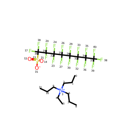 CCC[N+](CC)(CCC)CCC.O=S(=O)([O-])C(F)(F)C(F)(F)C(F)(F)C(F)(F)C(F)(F)C(F)(F)C(F)(F)C(F)(F)F